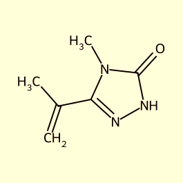 C=C(C)c1n[nH]c(=O)n1C